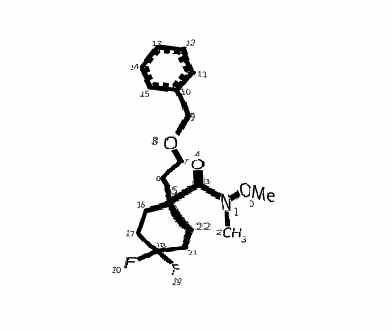 CON(C)C(=O)C1(CCOCc2ccccc2)CCC(F)(F)CC1